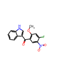 COc1cc(F)c([N+](=O)[O-])cc1C(=O)c1c[nH]c2ccccc12